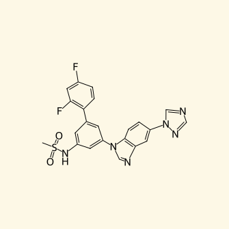 CS(=O)(=O)Nc1cc(-c2ccc(F)cc2F)cc(-n2cnc3cc(-n4cncn4)ccc32)c1